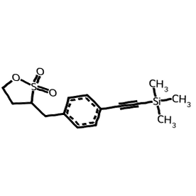 C[Si](C)(C)C#Cc1ccc(CC2CCOS2(=O)=O)cc1